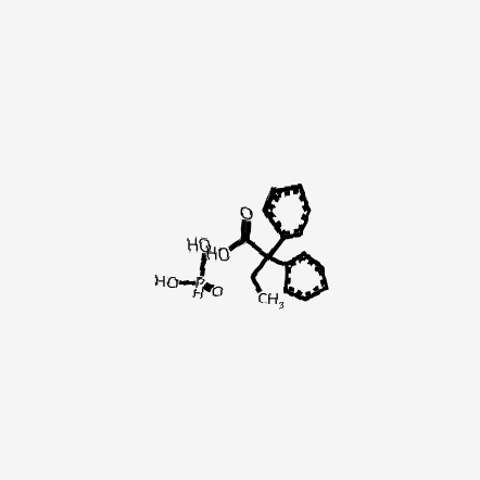 CCC(C(=O)O)(c1ccccc1)c1ccccc1.O=[PH](O)O